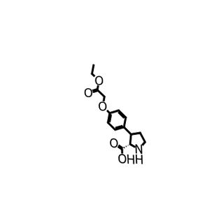 CCOC(=O)COc1ccc(C2CCN[C@@H]2C(=O)O)cc1